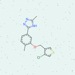 Cc1nnc(-c2ccc(C)c(OCc3cscc3Cl)c2)[nH]1